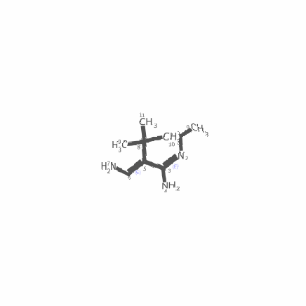 CC/N=C(N)\C(=C\N)C(C)(C)C